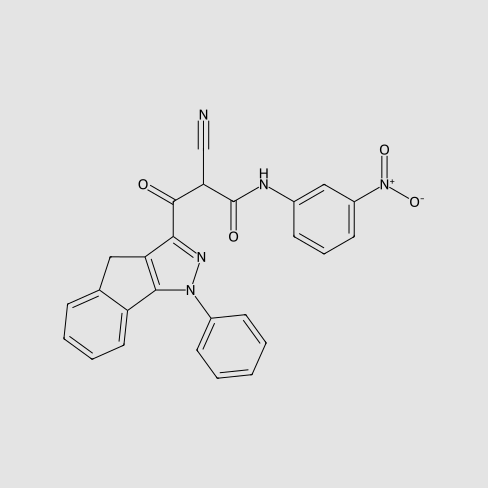 N#CC(C(=O)Nc1cccc([N+](=O)[O-])c1)C(=O)c1nn(-c2ccccc2)c2c1Cc1ccccc1-2